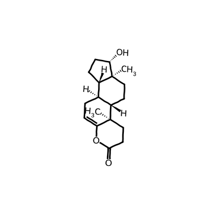 C[C@]12CC[C@H]3[C@@H](CC=C4OC(=O)CC[C@@]43C)[C@@H]1CC[C@@H]2O